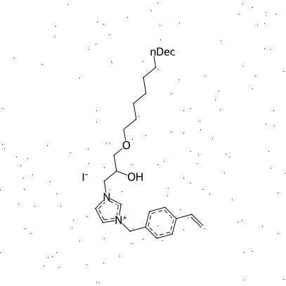 C=Cc1ccc(C[n+]2ccn(CC(O)COCCCCCCCCCCCCCCCC)c2)cc1.[I-]